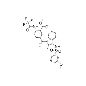 COC(=O)c1cc(C(=O)c2c(C)c(NS(=O)(=O)c3cccc(OC)c3)c3ccccn23)ccc1NC(=O)C(F)(F)F